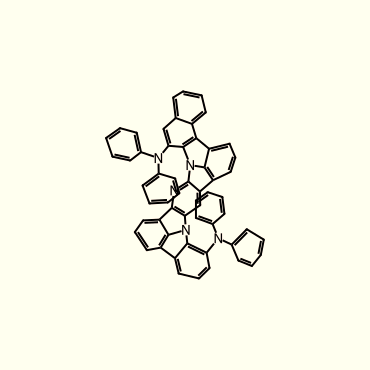 c1ccc(N(c2ccccc2)c2cccc3c4cccc5c6nc7c(cc6n(c23)c45)c2cccc3c4c5ccccc5cc(N(c5ccccc5)c5ccccc5)c4n7c23)cc1